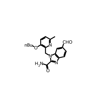 CCCCOc1ccc(C)nc1Cn1c(C(N)=O)nc2ccc(C=O)cc21